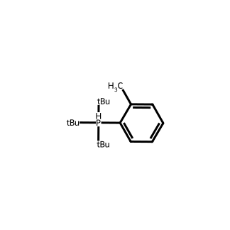 Cc1ccccc1[PH](C(C)(C)C)(C(C)(C)C)C(C)(C)C